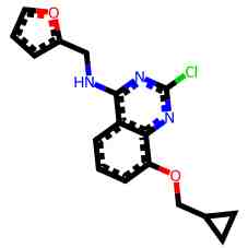 Clc1nc(NCc2ccco2)c2cccc(OCC3CC3)c2n1